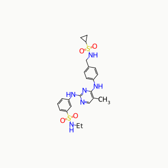 CCNS(=O)(=O)c1cccc(Nc2ncc(C)c(Nc3ccc(CNS(=O)(=O)C4CC4)cc3)n2)c1